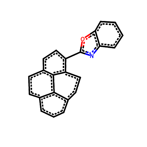 c1cc2ccc3ccc(-c4nc5ccccc5o4)c4ccc(c1)c2c34